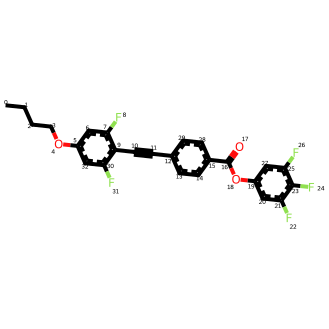 CCCCOc1cc(F)c(C#Cc2ccc(C(=O)Oc3cc(F)c(F)c(F)c3)cc2)c(F)c1